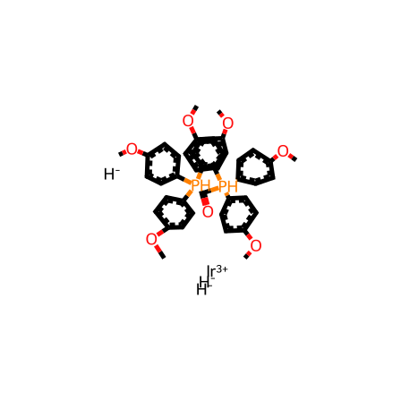 COc1ccc([PH](C(=O)[PH](c2ccc(OC)cc2)(c2ccc(OC)cc2)c2ccc(OC)cc2)(c2ccc(OC)cc2)c2ccc(OC)cc2)cc1.[H-].[H-].[H-].[Ir+3]